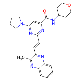 Cc1nc2ccccc2nc1/C=C/c1nc(C(=O)NC2CCOCC2)cc(N2CCCC2)n1